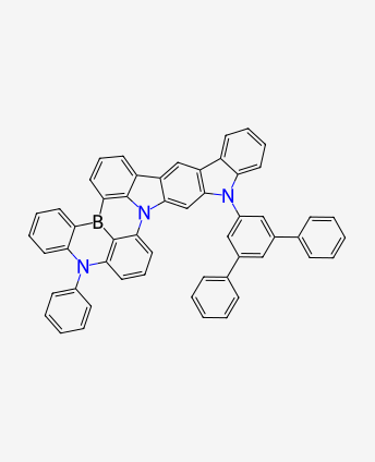 c1ccc(-c2cc(-c3ccccc3)cc(-n3c4ccccc4c4cc5c6cccc7c6n(c5cc43)-c3cccc4c3B7c3ccccc3N4c3ccccc3)c2)cc1